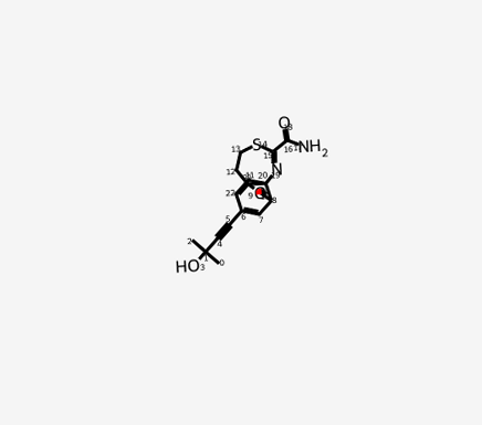 CC(C)(O)C#CC1=CC2=COC3CCSC(C(N)=O)=NC23C=C1